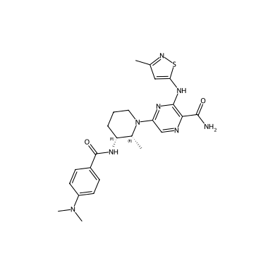 Cc1cc(Nc2nc(N3CCC[C@@H](NC(=O)c4ccc(N(C)C)cc4)[C@H]3C)cnc2C(N)=O)sn1